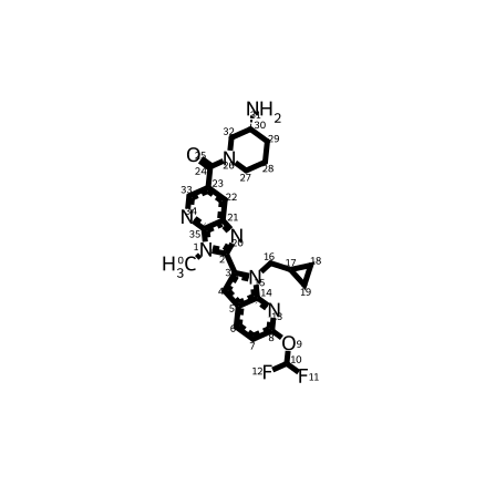 Cn1c(-c2cc3ccc(OC(F)F)nc3n2CC2CC2)nc2cc(C(=O)N3CCC[C@@H](N)C3)cnc21